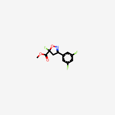 COC(=O)C1(F)CC(c2cc(F)cc(F)c2)=NO1